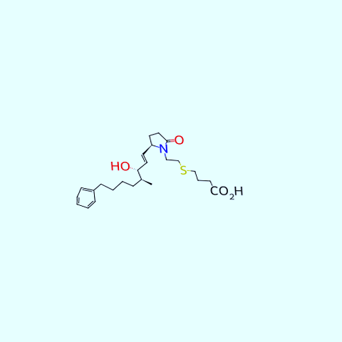 C[C@@H](CCCCc1ccccc1)[C@H](O)/C=C/[C@H]1CCC(=O)N1CCSCCCC(=O)O